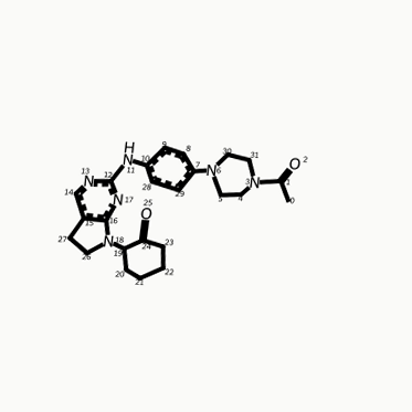 CC(=O)N1CCN(c2ccc(Nc3ncc4c(n3)N(C3CCCCC3=O)CC4)cc2)CC1